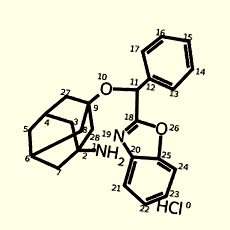 Cl.NC12CC3CC(C1)CC(OC(c1ccccc1)c1nc4ccccc4o1)(C3)C2